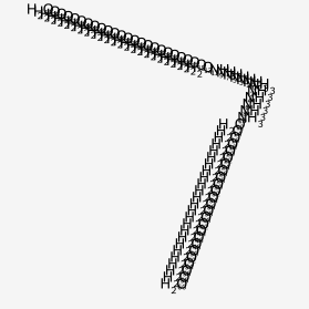 N.N.N.N.N.N.N.N.N.N.N.N.O.O.O.O.O.O.O.O.O.O.O.O.O.O.O.O.O.O.O.O.O.O.O.O.O.O.O.O.O.O.O.O.O.O.O.O.O.O.O.O.O.O.O.O.O.O.O.O.O.O